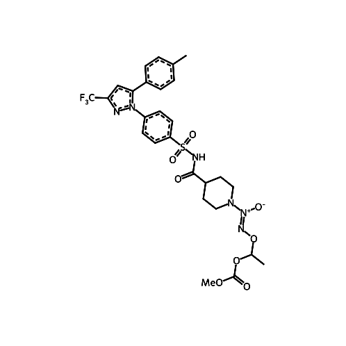 COC(=O)OC(C)O/N=[N+](\[O-])N1CCC(C(=O)NS(=O)(=O)c2ccc(-n3nc(C(F)(F)F)cc3-c3ccc(C)cc3)cc2)CC1